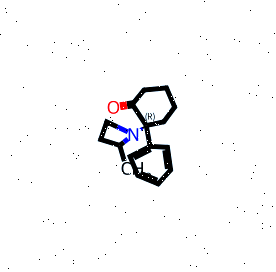 CC1CCN1[C@@]1(c2ccccc2)CCCCC1=O